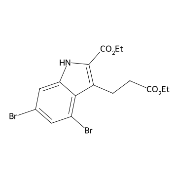 CCOC(=O)CCc1c(C(=O)OCC)[nH]c2cc(Br)cc(Br)c12